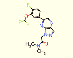 CN(C)C(=O)Cn1ncc2ncc(-c3ccc(F)c(OC(F)F)c3)nc21